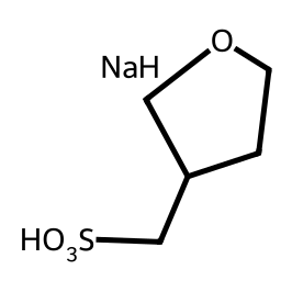 O=S(=O)(O)CC1CCOC1.[NaH]